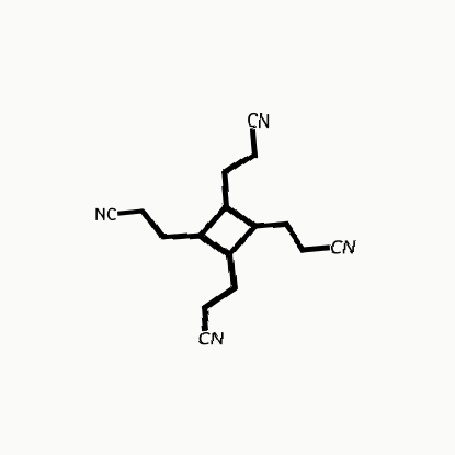 N#CCCC1C(CCC#N)C(CCC#N)C1CCC#N